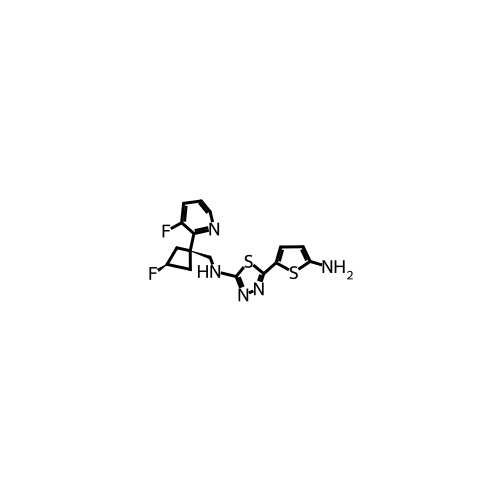 Nc1ccc(-c2nnc(NC[C@]3(c4ncccc4F)C[C@H](F)C3)s2)s1